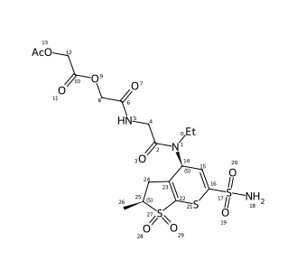 CCN(C(=O)CNC(=O)COC(=O)COC(C)=O)[C@H]1C=C(S(N)(=O)=O)SC2=C1C[C@H](C)S2(=O)=O